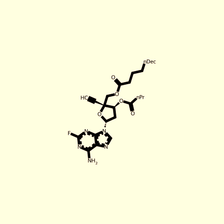 C#C[C@]1(COC(=O)CCCCCCCCCCCCC)O[C@@H](n2cnc3c(N)nc(F)nc32)C[C@@H]1OC(=O)CCC